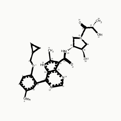 COc1ccc(OCC2CC2)c(-c2ncnc3c(C(=O)N[C@@H]4CN(C(=O)[C@H](C)O)C[C@H]4O)c(C)[nH]c23)c1